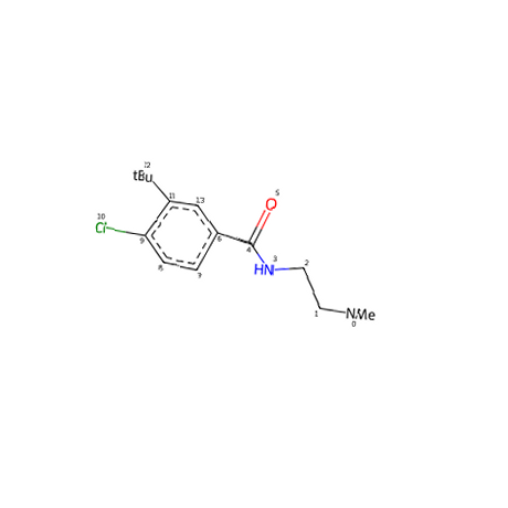 CNCCNC(=O)c1ccc(Cl)c(C(C)(C)C)c1